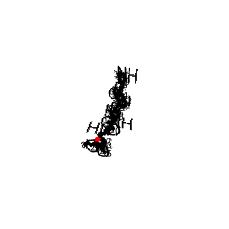 CCOc1cc(CCNC(=O)C(=O)Nc2ccc(Oc3ccnc4cc(OCC5CCNCC5)c(OC)cc34)c(F)c2)ccc1OC